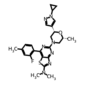 Cc1ccc(-c2nc(N3C[C@@H](C)O[C@@H](c4cnn(C5CC5)c4)C3)nc3nc(N(C)C)sc23)c(F)c1